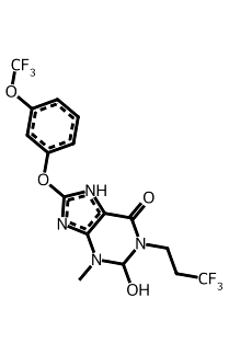 CN1c2nc(Oc3cccc(OC(F)(F)F)c3)[nH]c2C(=O)N(CCC(F)(F)F)C1O